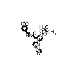 CCC(C)OC(=O)N1CCN(c2ccnc(-n3ccnc3)n2)C(CC(=O)NCCc2ccc3c(c2)OCO3)C1